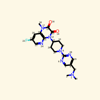 CN(C)Cc1cnc(N2CCC(n3c(=O)c(=O)n(C)c4cc(F)cnc43)CC2)nc1